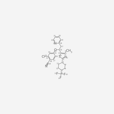 Cc1nc(C2CCC(C(F)(F)F)CC2)sc1C(Cc1ccccn1)Oc1ccc(C#N)c(Cl)c1